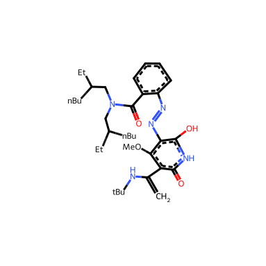 C=C(NC(C)(C)C)c1c(OC)c(/N=N/c2ccccc2C(=O)N(CC(CC)CCCC)CC(CC)CCCC)c(O)[nH]c1=O